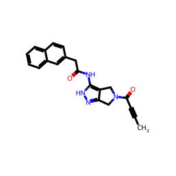 CC#CC(=O)N1Cc2n[nH]c(NC(=O)Cc3ccc4ccccc4c3)c2C1